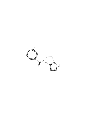 O=C(c1ccccc1)N1CCc2[nH]ccc21